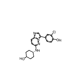 Oc1ccc(-c2cnc3ccc(N[C@H]4CC[C@H](O)CC4)nn23)cc1Cl